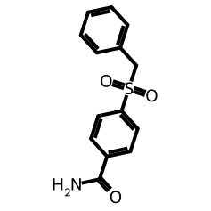 NC(=O)c1ccc(S(=O)(=O)Cc2ccccc2)cc1